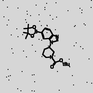 CC(C)(C)OC(=O)N1CCCC(n2cnc3ccc(B4OC(C)(C)C(C)(C)O4)cc32)C1